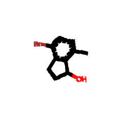 Cc1ccc(Br)c2c1C(O)CC2